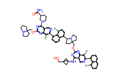 NC(=O)C1CCCN(c2nc(OCC34CCCN3CCC4)nc3c(F)c(-c4cccc5c(C6CCC7(COc8nc(NC9%10CC(CO)(C9)C%10)c9cnc(-c%10cccc%11cccc(F)c%10%11)c(F)c9n8)CCCN67)ccc(F)c45)ncc23)C1